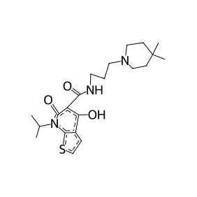 CC(C)n1c(=O)c(C(=O)NCCCN2CCC(C)(C)CC2)c(O)c2ccsc21